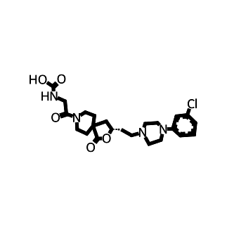 O=C(O)NCC(=O)N1CCC2(CC1)C[C@H](CCN1CCN(c3cccc(Cl)c3)CC1)OC2=O